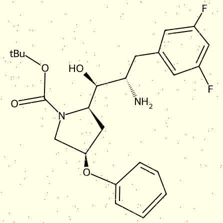 CC(C)(C)OC(=O)N1C[C@H](Oc2ccccc2)C[C@@H]1[C@@H](O)[C@@H](N)Cc1cc(F)cc(F)c1